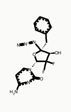 [N-]=[N+]=N[C@]1(Cc2[c]cccc2)O[C@@H](n2ccc(N)nc2=O)C(F)(F)[C@@H]1O